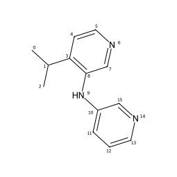 CC(C)c1ccncc1Nc1cccnc1